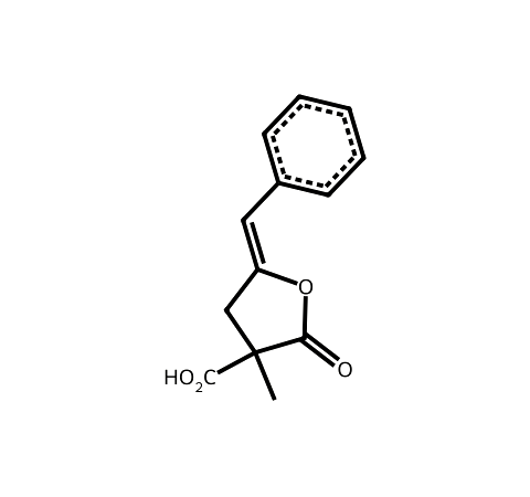 CC1(C(=O)O)C/C(=C/c2ccccc2)OC1=O